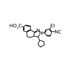 [C-]#[N+]c1ccc(N2N=C3c4ccc(C(=O)O)cc4CCC3C2C2CCCC2)cc1CC